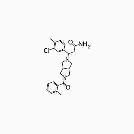 Cc1ccc(C(CC(N)=O)N2CC3CN(C(=O)c4ccccc4C)CC3C2)cc1Cl